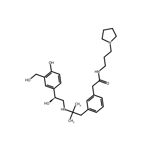 CC(C)(Cc1cccc(CC(=O)NCCCN2CCCC2)c1)NC[C@@H](O)c1ccc(O)c(CO)c1